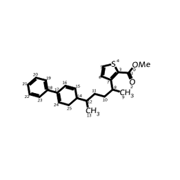 COC(=O)c1sccc1C(C)CCC(C)C1C=CC(c2ccccc2)=CC1